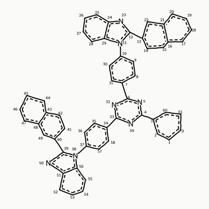 c1ccc(-c2nc(-c3ccc(-n4c(-c5ccc6ccccc6c5)nc5ccccc54)cc3)nc(-c3ccc(-n4c(-c5ccc6ccccc6c5)nc5ccccc54)cc3)n2)cc1